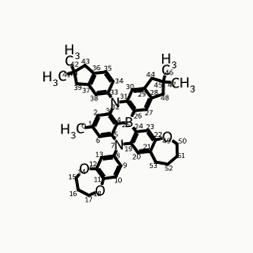 Cc1cc2c3c(c1)N(c1ccc4c(c1)OCCCO4)c1cc4c(cc1B3c1cc3c(cc1N2c1ccc2c(c1)CC(C)(C)C2)CC(C)(C)C3)OCCCC4